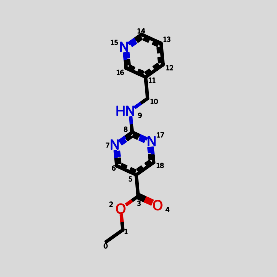 CCOC(=O)c1cnc(NCc2cccnc2)nc1